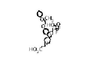 CC(COc1ccc2c(c1)OCC21CCN(CCC(=O)O)CC1)Oc1ccccc1.O=C(O)C(F)(F)F